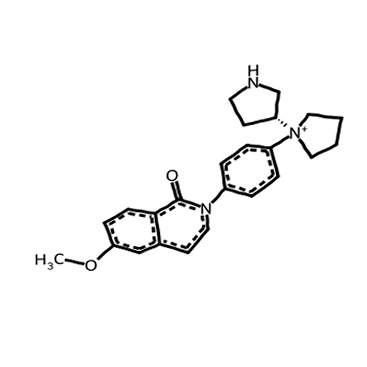 COc1ccc2c(=O)n(-c3ccc([N+]4([C@@H]5CCNC5)CCCC4)cc3)ccc2c1